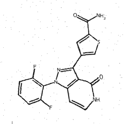 NC(=O)c1cc(-c2nn(-c3c(F)cccc3F)c3cc[nH]c(=O)c23)cs1